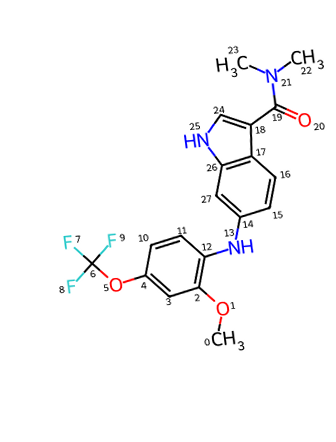 COc1cc(OC(F)(F)F)ccc1Nc1ccc2c(C(=O)N(C)C)c[nH]c2c1